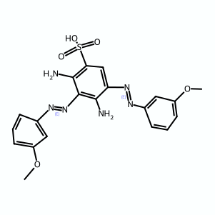 COc1cccc(/N=N/c2cc(S(=O)(=O)O)c(N)c(/N=N/c3cccc(OC)c3)c2N)c1